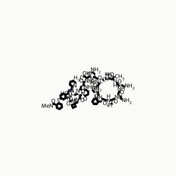 CNC(=O)c1ccccc1Sc1ccc2c(/C=C/c3ccccn3)nn(C(=O)NC3(CNC(=O)[C@H](CCC(=O)O)NC(=O)CCC(=O)N[C@@H](CCN)C(=O)N[C@H](C(=O)N[C@@H](CCN)C(=O)N[C@H]4CCNC(=O)[C@H]([C@@H](C)O)NC(=O)[C@H](CCN)NC(=O)[C@H](CCN)NC(=O)[C@H](CC(C)C)NC(=O)[C@@H](Cc5ccccc5)NC(=O)[C@H](CCN)NC4=O)[C@@H](C)O)CCC3)c2c1